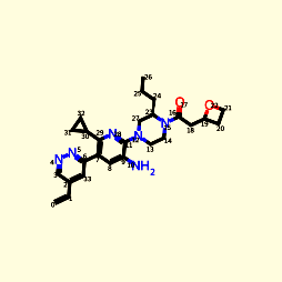 C=Cc1cnnc(-c2cc(N)c(N3CCN(C(=O)CC4CCO4)[C@H](CCC)C3)nc2C2CC2)c1